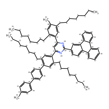 CCCCCCCCc1cc(-c2cc(-c3cc(CCCCCCCC)c(-c4ccc(-c5ccc(C)cc5)cc4)cc3CCCCCCCC)nc(-c3ccc4c5ccccc5c5ccccc5c4c3)n2)c(CCCCCCCC)cc1C